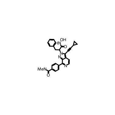 CNC(=O)c1ccc(-c2nccc3c(C#CC4CC4)n(C(Cc4ccccc4)C(=O)NO)nc23)cc1